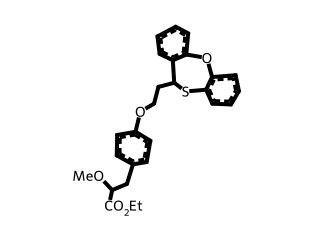 CCOC(=O)C(Cc1ccc(OCCC2Sc3ccccc3Oc3ccccc32)cc1)OC